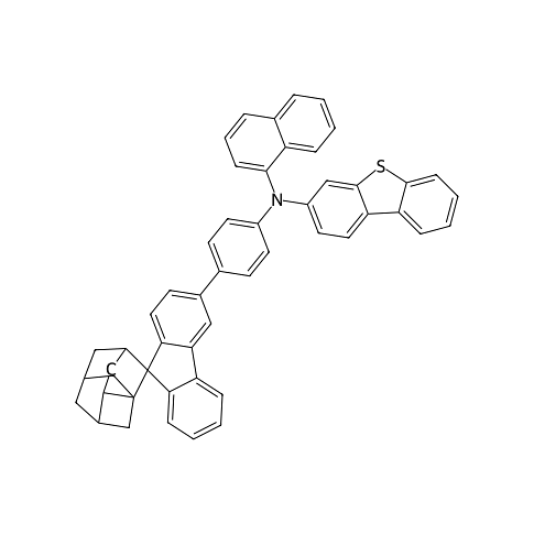 c1ccc2c(c1)-c1cc(-c3ccc(N(c4ccc5c(c4)sc4ccccc45)c4cccc5ccccc45)cc3)ccc1C21C2CC3CC4CC1(C3)C4C2